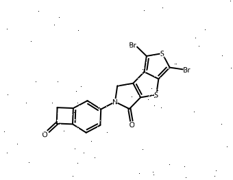 O=C1Cc2cc(N3Cc4c(sc5c(Br)sc(Br)c45)C3=O)ccc21